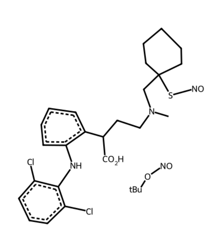 CC(C)(C)ON=O.CN(CCC(C(=O)O)c1ccccc1Nc1c(Cl)cccc1Cl)CC1(SN=O)CCCCC1